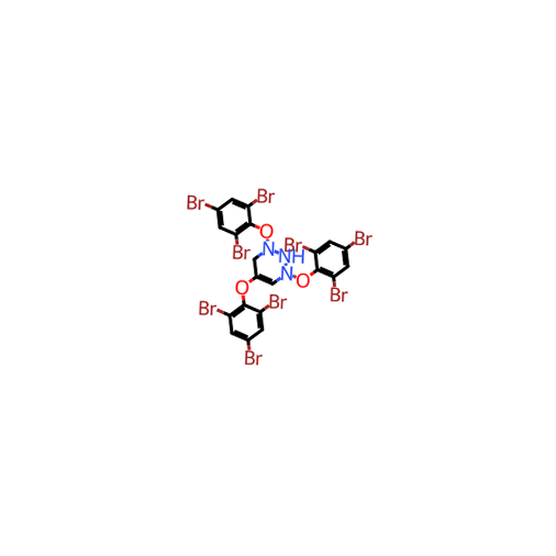 Brc1cc(Br)c(OC2=CN(Oc3c(Br)cc(Br)cc3Br)NN(Oc3c(Br)cc(Br)cc3Br)C2)c(Br)c1